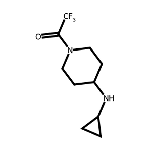 O=C(N1CCC(NC2CC2)CC1)C(F)(F)F